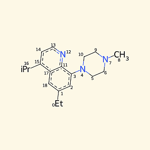 CCc1cc(N2CCN(C)CC2)c2nccc(C(C)C)c2c1